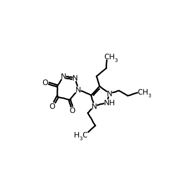 CCCC1=C(N2N=NC(=O)C(=O)C2=O)N(CCC)NN1CCC